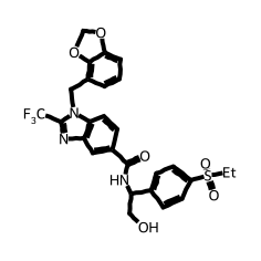 CCS(=O)(=O)c1ccc(C(CO)NC(=O)c2ccc3c(c2)nc(C(F)(F)F)n3Cc2cccc3c2OCO3)cc1